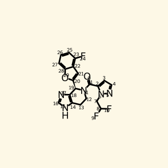 O=C(c1ccnn1CC(F)F)N1CCc2[nH]cnc2[C@H]1c1cc2c(F)cccc2o1